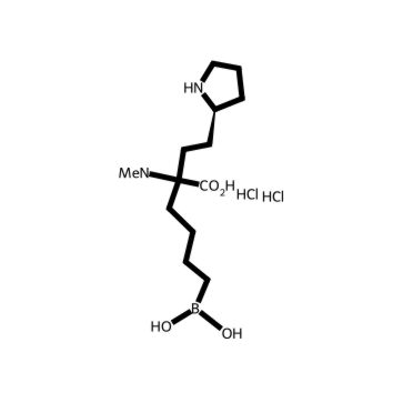 CNC(CCCCB(O)O)(CC[C@@H]1CCCN1)C(=O)O.Cl.Cl